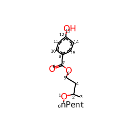 CCCCCOC(C)CCOC(=O)c1ccc(O)cc1